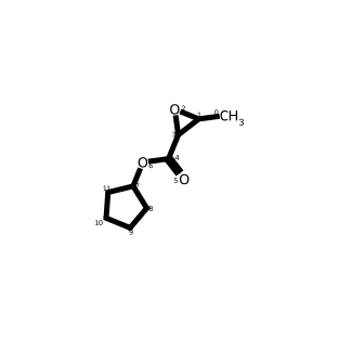 CC1OC1C(=O)OC1CCCC1